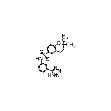 CC1(C)CCc2cc(S(=O)(=O)Nc3cccc(-c4nnn[nH]4)c3)ccc2O1